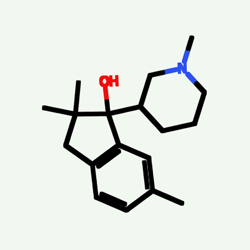 Cc1ccc2c(c1)C(O)(C1CCCN(C)C1)C(C)(C)C2